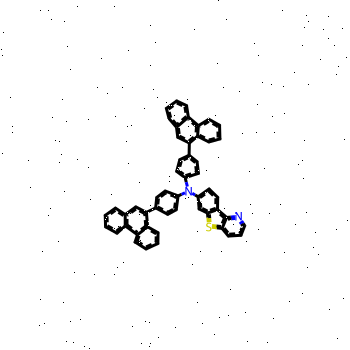 c1ccc2c(c1)cc(-c1ccc(N(c3ccc(-c4cc5ccccc5c5ccccc45)cc3)c3ccc4c(c3)sc3cccnc34)cc1)c1ccccc12